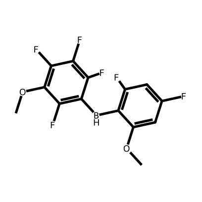 COc1cc(F)cc(F)c1Bc1c(F)c(F)c(F)c(OC)c1F